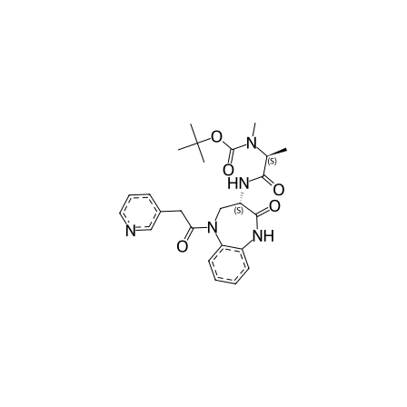 C[C@@H](C(=O)N[C@H]1CN(C(=O)Cc2cccnc2)c2ccccc2NC1=O)N(C)C(=O)OC(C)(C)C